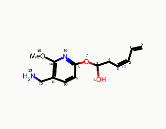 C=C/C=C\CC(O)Oc1ccc(CN)c(OC)n1